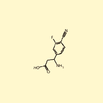 N#Cc1ccc(C(N)CC(=O)O)cc1F